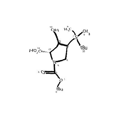 CC(C)(C)OC(=O)N1CC([Si](C)(C)C(C)(C)C)C(O)[C@H]1C(=O)O